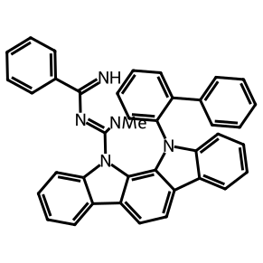 CN/C(=N\C(=N)c1ccccc1)n1c2ccccc2c2ccc3c4ccccc4n(-c4ccccc4-c4ccccc4)c3c21